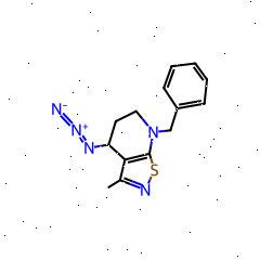 Cc1nsc2c1C(N=[N+]=[N-])CCN2Cc1ccccc1